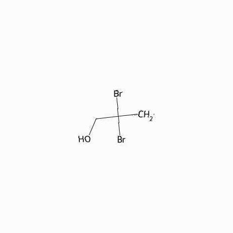 [CH2]C(Br)(Br)CO